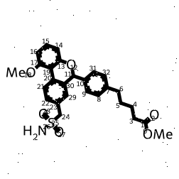 COC(=O)CCCCc1ccc(C2Oc3cccc(OC)c3-c3ccc(CS(N)(=O)=O)cc32)cc1